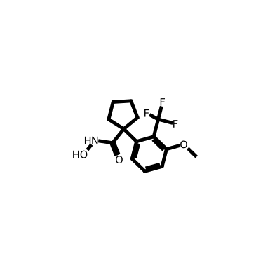 COc1cccc(C2(C(=O)NO)CCCC2)c1C(F)(F)F